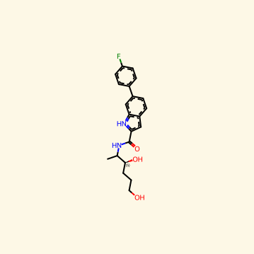 CC(NC(=O)c1cc2ccc(-c3ccc(F)cc3)cc2[nH]1)[C@@H](O)CCCO